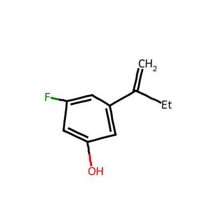 [CH2]CC(=C)c1cc(O)cc(F)c1